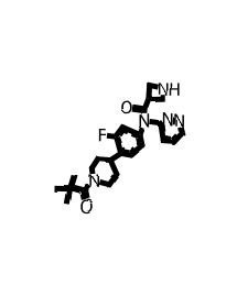 CC(C)(C)C(=O)N1CCC(c2ccc(N(C(=O)C3CNC3)c3cccnn3)cc2F)CC1